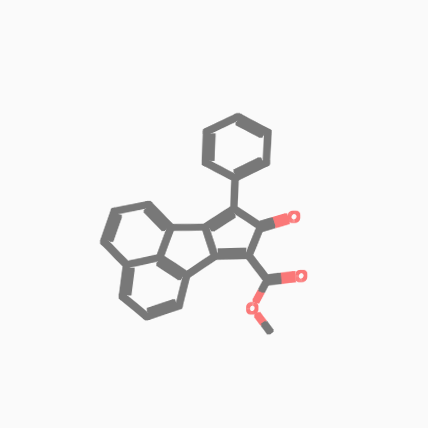 COC(=O)C1=C2C(=C(c3ccccc3)C1=O)c1cccc3cccc2c13